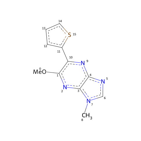 COc1nc2c(ncn2C)nc1-c1cccs1